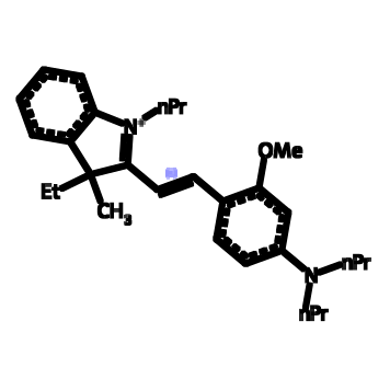 CCCN(CCC)c1ccc(/C=C/C2=[N+](CCC)c3ccccc3C2(C)CC)c(OC)c1